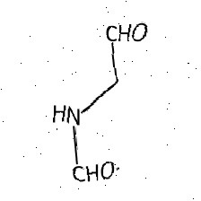 O=[C]NCC=O